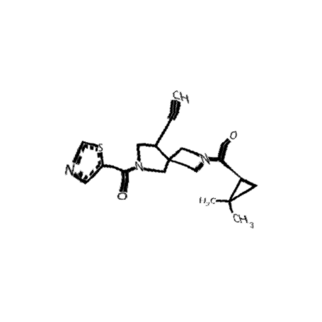 C#CC1CN(C(=O)c2cncs2)CC12CN(C(=O)[C@H]1CC1(C)C)C2